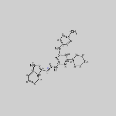 Cc1ccc(Nc2nc(N/N=C/c3c[nH]c4ccccc34)nc(N3CCSCC3)n2)cc1